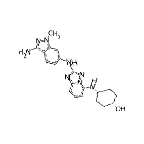 Cn1nc(N)c2ccc(Nc3nc4cccc(N[C@H]5CC[C@@H](O)CC5)n4n3)cc21